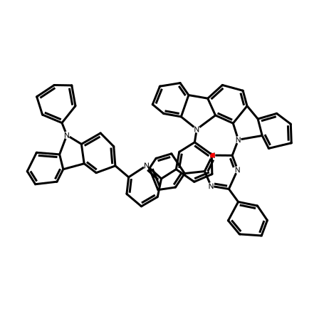 c1ccc(-c2nc(-c3ccccc3)nc(-n3c4ccccc4c4ccc5c6ccccc6n(-c6cccc(-c7cccc(-c8ccc9c(c8)c8ccccc8n9-c8ccccc8)n7)c6)c5c43)n2)cc1